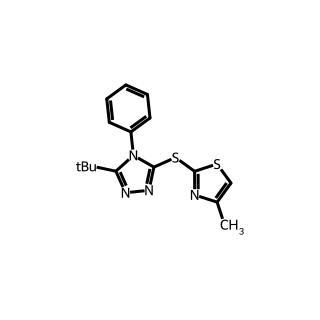 Cc1csc(Sc2nnc(C(C)(C)C)n2-c2ccccc2)n1